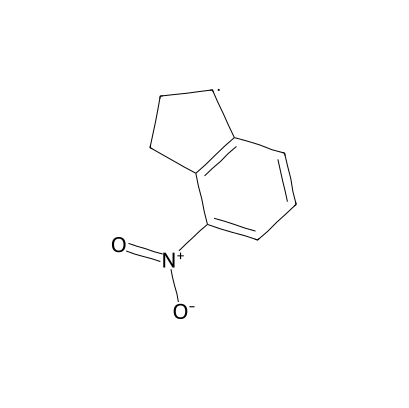 O=[N+]([O-])c1cccc2c1CC[CH]2